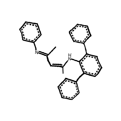 C/C(=C/C(C)=N/c1ccccc1)Nc1c(-c2ccccc2)cccc1-c1ccccc1